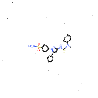 CN(C(=S)Nc1cc(-c2ccccc2)n(-c2ccc(S(N)(=O)=O)cc2)n1)c1ccccc1